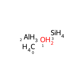 C.O.[AlH3].[SiH4]